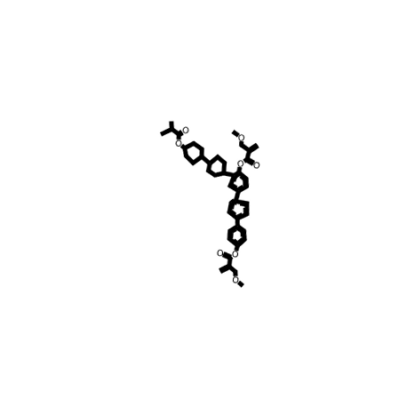 C=C(COC)C(=O)Oc1ccc(-c2ccc(-c3ccc(OC(=O)C(=C)COC)c(C4CCC(C5CCC(OC(=O)C(C)C)CC5)CC4)c3)cc2)cc1